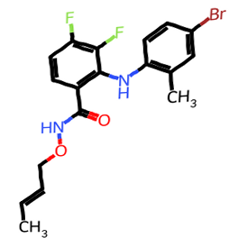 CC=CCONC(=O)c1ccc(F)c(F)c1Nc1ccc(Br)cc1C